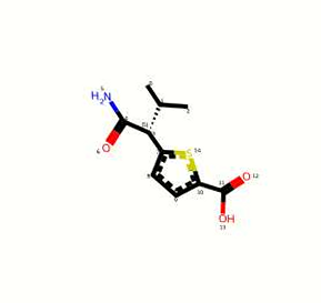 CC(C)[C@@H](C(N)=O)c1ccc(C(=O)O)s1